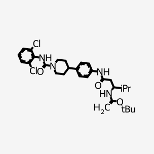 C=C(NC(CC(=O)Nc1ccc(C2CCN(C(=O)Nc3c(Cl)cccc3Cl)CC2)cc1)C(C)C)OC(C)(C)C